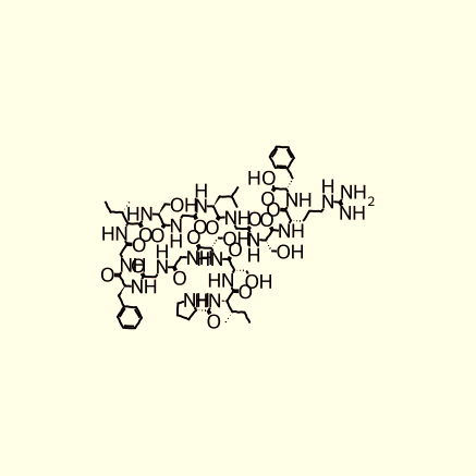 CC[C@H](C)[C@H](NC(=O)CNC(=O)[C@H](Cc1ccccc1)NC(=O)CNC(=O)CNC(=O)[C@H](CO)NC(=O)[C@H](CO)NC(=O)[C@@H](NC(=O)[C@@H]1CCCN1)[C@@H](C)CC)C(=O)N[C@@H](CO)C(=O)NCC(=O)N[C@@H](CC(C)C)C(=O)NCC(=O)N[C@@H](CO)C(=O)N[C@@H](CCCNC(=N)N)C(=O)N[C@@H](Cc1ccccc1)C(=O)O